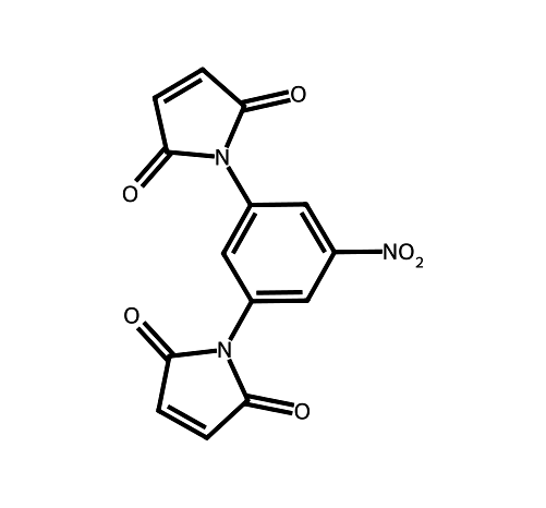 O=C1C=CC(=O)N1c1cc(N2C(=O)C=CC2=O)cc([N+](=O)[O-])c1